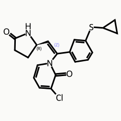 O=C1CC[C@H](/C=C(/c2cccc(SC3CC3)c2)n2cccc(Cl)c2=O)N1